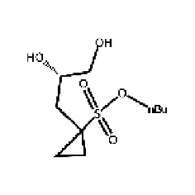 CCCCOS(=O)(=O)C1(C[C@H](O)CO)CC1